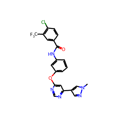 Cn1cc(-c2cc(Oc3cccc(NC(=O)c4ccc(Cl)c(C(F)(F)F)c4)c3)ncn2)cn1